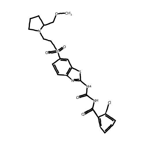 COCC1CCCN1CCS(=O)(=O)c1ccc2nc(NC(=O)NC(=O)c3ccccc3Cl)sc2c1